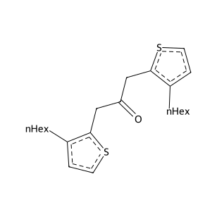 CCCCCCc1ccsc1CC(=O)Cc1sccc1CCCCCC